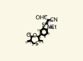 C=C1CSC(C)C(c2ccc3c(c2)S/C(=C(/C#N)C=O)N3CC)OC1=O